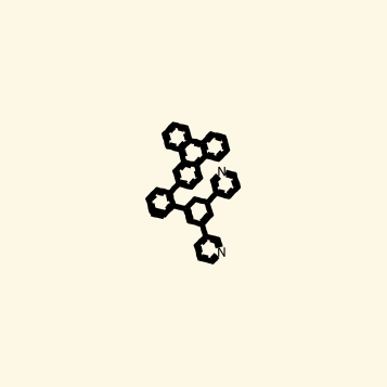 c1ccc(-c2ccc3c4ccccc4c4ccccc4c3c2)c(C2=CC(c3cccnc3)=CC(c3cccnc3)C2)c#1